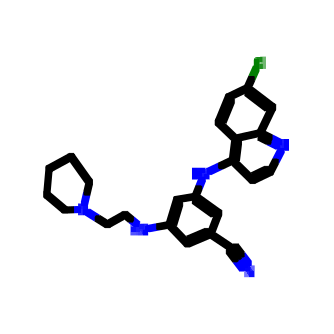 N#Cc1cc(NCCN2CCCCC2)cc(Nc2ccnc3cc(Cl)ccc23)c1